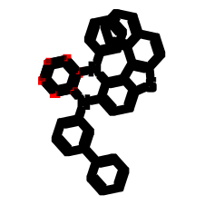 c1ccc(-c2cccc(N(c3ccccc3)c3ccc4sc5ccc6ccccc6c5c4c3N(c3ccccc3)c3ccccc3)c2)cc1